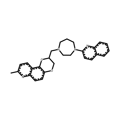 Cc1ccc2c3c(ccc2n1)OCC(CN1CCCN(c2ccc4ccccc4n2)CC1)O3